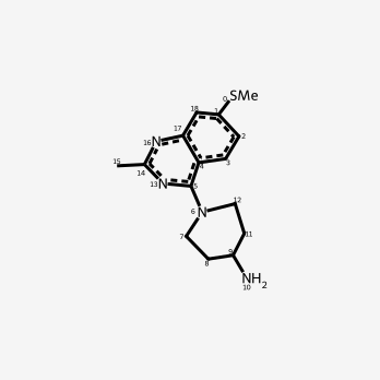 CSc1ccc2c(N3CCC(N)CC3)nc(C)nc2c1